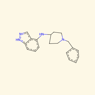 c1ccc(CN2CCC(Nc3cccc4[nH]ncc34)CC2)cc1